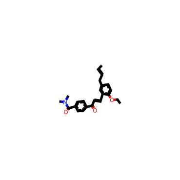 CC=CCc1ccc(OCC)c(C=CC(=O)c2ccc(C(=O)N(C)C)cc2)c1